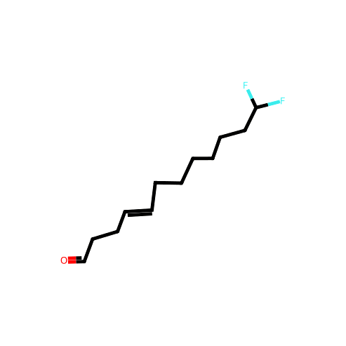 O=CCC/C=C/CCCCCCC(F)F